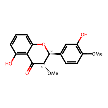 COc1ccc([C@@H]2Oc3cccc(O)c3C(=O)[C@H]2OC)cc1O